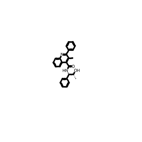 Cc1c(-c2ccccc2)nc2ccccc2c1C(=O)N[C@@H](c1ccccc1)[C@@H](C)O